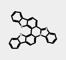 c1ccc2c(c1)nc1c3ccc4c5ccccc5sc4c3c3c4oc5ccccc5c4ccc3n21